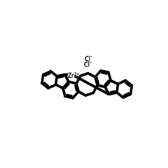 C1=CC2=[C]3[Zr+2][C]4=C5C=CC=CC5c5ccc6c(c54)CCc4ccc(c3c4CC6)C2C=C1.[Cl-].[Cl-]